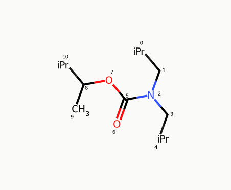 CC(C)CN(CC(C)C)C(=O)OC(C)C(C)C